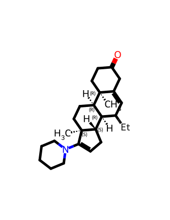 CCC1C=C2CC(=O)CC[C@]2(C)[C@@H]2CC[C@]3(C)C(N4CCCCC4)=CC[C@H]3[C@H]12